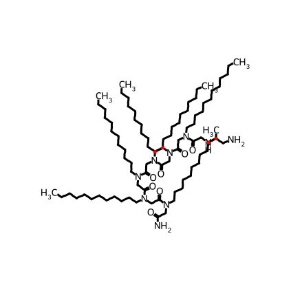 CCCCCCCCCCCCN(CC(N)=O)C(=O)CN(CCCCCCCCCCCC)C(=O)CN(CCCCCCCCCCCC)C(=O)CN(CCCCCCCCCCCC)C(=O)CN(CCCCCCCCCCCC)C(=O)CN(CCCCCCCCCCCC)C(=O)CNCCN